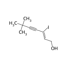 CC(C)(C)C#CC(I)=CCO